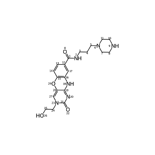 O=C(NCCCN1CCNCC1)c1ccc2c(c1)Nc1nc(=O)n(CCO)cc1O2